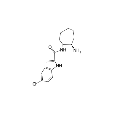 N[C@@H]1CCCCC[C@H]1NC(=O)c1cc2cc(Cl)ccc2[nH]1